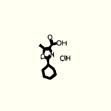 Cc1oc(C2CCCCC2)nc1C(=O)O.Cl